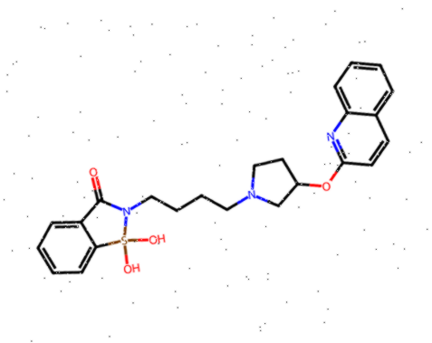 O=C1c2ccccc2S(O)(O)N1CCCCN1CCC(Oc2ccc3ccccc3n2)C1